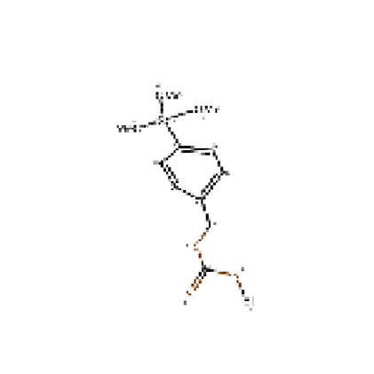 CCSC(=S)SCc1ccc([Si](OC)(OC)OC)cc1